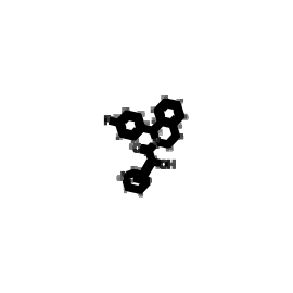 O=C(/C(O)=C1\CN2CCC1CC2)N1CCc2ccccc2C1c1ccc(F)cc1